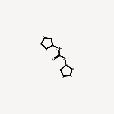 O=C(NC1CCCC1)NC1CCCC1